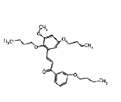 CCCCOc1cccc(C(=O)C=Cc2cc(OCCCC)cc(OC)c2OCCCC)c1